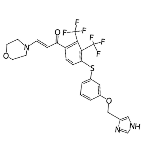 O=C(C=CN1CCOCC1)c1ccc(Sc2cccc(OCc3c[nH]cn3)c2)c(C(F)(F)F)c1C(F)(F)F